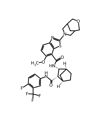 COc1ccc2nc(N3CC4COCC(C4)C3)sc2c1C(=O)N[C@@H]1[C@H]2CC[C@H](C2)[C@@H]1C(=O)Nc1ccc(F)c(C(F)(F)F)c1